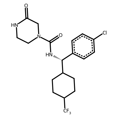 O=C1CN(C(=O)N[C@H](c2ccc(Cl)cc2)C2CCC(C(F)(F)F)CC2)CCN1